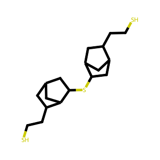 SCCC1CC2CC1CC2SC1CC2CC(CCS)C1C2